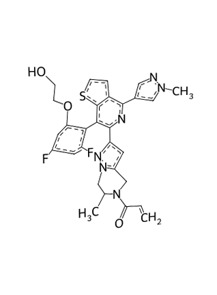 C=CC(=O)N1Cc2cc(-c3nc(-c4cnn(C)c4)c4ccsc4c3-c3c(F)cc(F)cc3OCCO)nn2CC1C